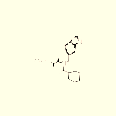 COC(=O)C(=O)N(Cc1ccc2scnc2c1)[C@H](C)C1CCCCC1